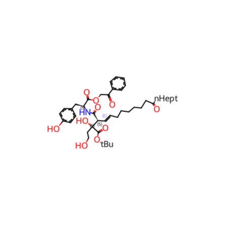 CCCCCCCC(=O)CCCCCC/C=C/[C@H](C(=O)N[C@@H](Cc1ccc(O)cc1)C(=O)OCC(=O)c1ccccc1)[C@@](O)(CCO)C(=O)OC(C)(C)C